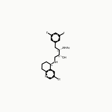 CCc1cnc2c(c1)[C@H](NC[C@@H](O)[C@H](Cc1cc(F)cc(F)c1)NC(C)=O)CCC2